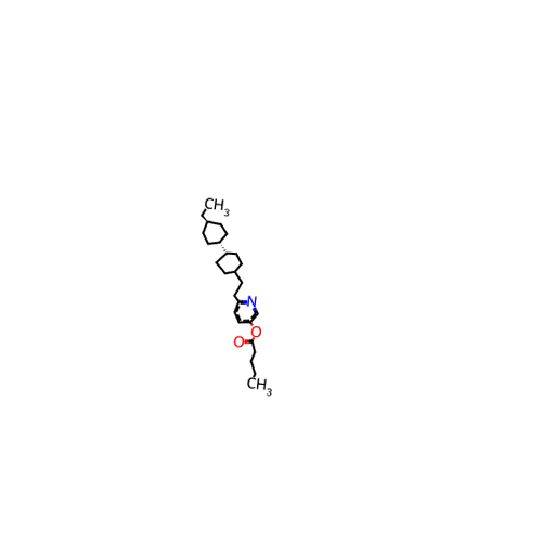 CCCCC(=O)Oc1ccc(CCC2CCC([C@H]3CC[C@H](CC)CC3)CC2)nc1